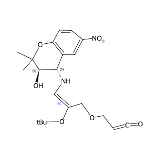 CC(C)(C)O/C(=C/N[C@H]1c2cc([N+](=O)[O-])ccc2OC(C)(C)[C@@H]1O)COCC=C=O